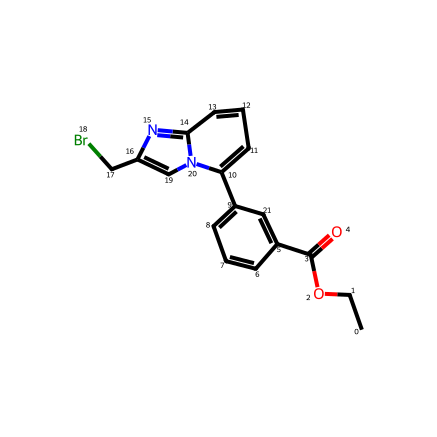 CCOC(=O)c1cccc(-c2cccc3nc(CBr)cn23)c1